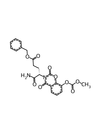 COC(=O)Oc1cccc2c(=O)n([C@@H](CCC(=O)OCc3ccccc3)C(N)=O)c(=O)oc12